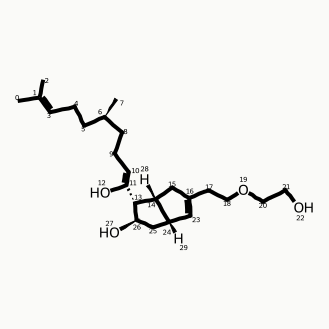 CC(C)=CCC[C@@H](C)CCC=C(O)[C@@H]1[C@@H]2CC(CCOCCO)=C[C@@H]2C[C@H]1O